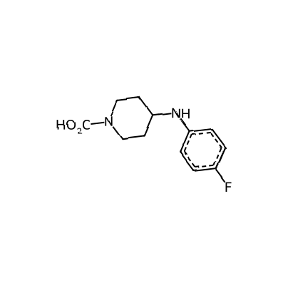 O=C(O)N1CCC(Nc2ccc(F)cc2)CC1